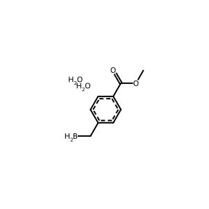 BCc1ccc(C(=O)OC)cc1.O.O